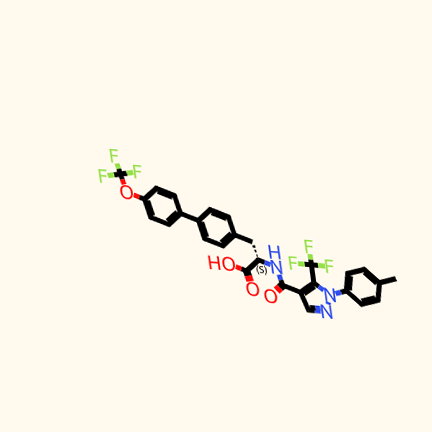 Cc1ccc(-n2ncc(C(=O)N[C@@H](Cc3ccc(-c4ccc(OC(F)(F)F)cc4)cc3)C(=O)O)c2C(F)(F)F)cc1